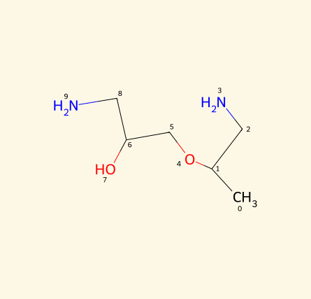 CC(CN)OCC(O)CN